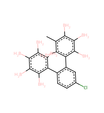 Bc1c(B)c(B)c(-c2ccc(Cl)cc2-c2c(B)c(B)c(B)c(C)c2B)c(B)c1B